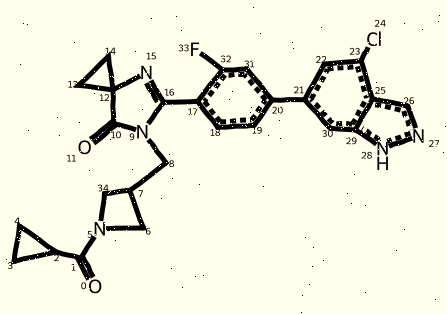 O=C(C1CC1)N1CC(CN2C(=O)C3(CC3)N=C2c2ccc(-c3cc(Cl)c4cn[nH]c4c3)cc2F)C1